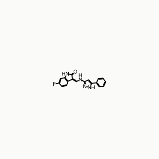 O=C1Nc2cc(F)ccc2C1=CNc1cc(-c2ccccc2)[nH]n1